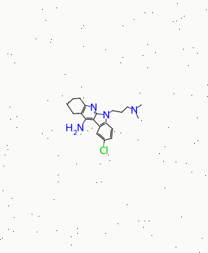 CN(C)CCCn1c2ccc(Cl)cc2c2c(N)c3c(nc21)CCCC3